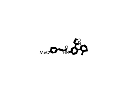 COc1ccc(C=CC(=O)Nc2ccc(-c3ccccc3C)c(-c3ccon3)c2)cc1